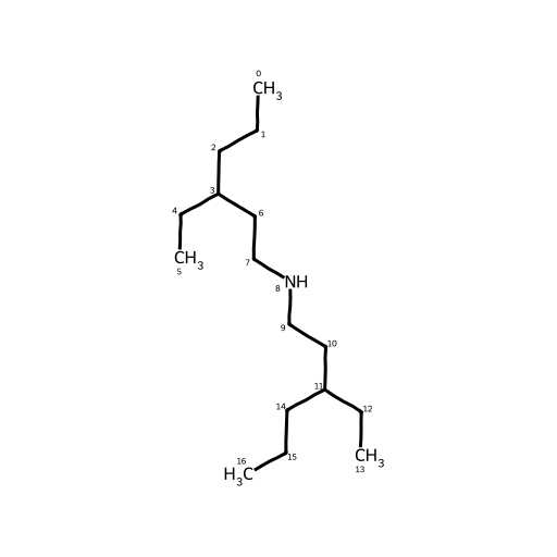 CCCC(CC)CCNCCC(CC)CCC